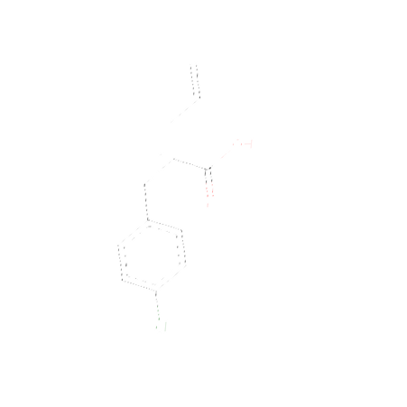 C=CC[C@@H](Cc1ccc(Cl)cc1)C(=O)O